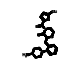 CN1CCN(c2ccccc2CC2OCCN(C(=O)c3ccc(C(C)(C)C)s3)C2=O)CC1